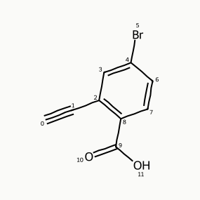 C#Cc1cc(Br)ccc1C(=O)O